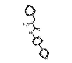 N[C@@H](Cc1ccccc1)C(=O)Nc1ccc(-c2ccncc2)cn1